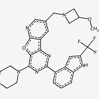 COC1CN(Cc2cnc3oc4c(N5CCOCC5)nc(-c5cccc6[nH]c(C(F)(F)F)cc56)nc4c3c2)C1